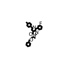 Cc1ccc(-c2cc3c(=O)n(C(C)COCc4ccccc4)cnc3c(-c3cccc(F)c3)n2)cc1